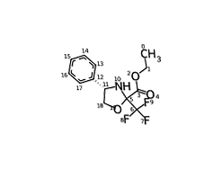 CCOC(=O)C1(C(F)(F)F)N[C@@H](c2ccccc2)CO1